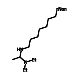 CCCCCCCCCCCCCCCCNC(C)N(CC)CC